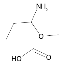 CCC(N)OC.O=CO